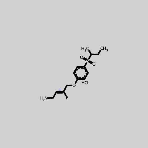 CCC(C)S(=O)(=O)c1ccc(OC/C(F)=C/CN)cc1.Cl